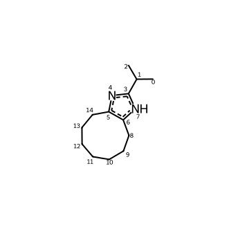 CC(C)c1nc2c([nH]1)CCCCCCC2